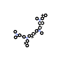 C[C@@H]1Cc2c(c3ccc(C4(C)C=CC5=C(C4)C(C)(C)c4cc(N(c6ccc(-c7ccc8c(c7)c7ccccc7n8-c7ccccc7)cc6)c6ccc7c(c6)C(C)(C)c6ccccc6-7)ccc45)cc3n2-c2ccccc2)C=C1C1=CCC(N(c2ccccc2)c2ccc3c(c2)C(C)(C)c2ccccc2-3)C2C=CC=CC12